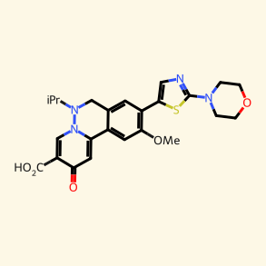 COc1cc2c(cc1-c1cnc(N3CCOCC3)s1)CN(C(C)C)n1cc(C(=O)O)c(=O)cc1-2